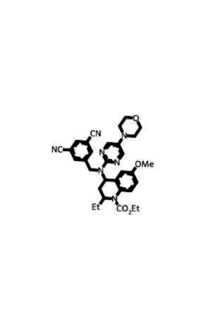 CCOC(=O)N1c2ccc(OC)cc2C(N(Cc2cc(C#N)cc(C#N)c2)c2ncc(N3CCOCC3)cn2)CC1CC